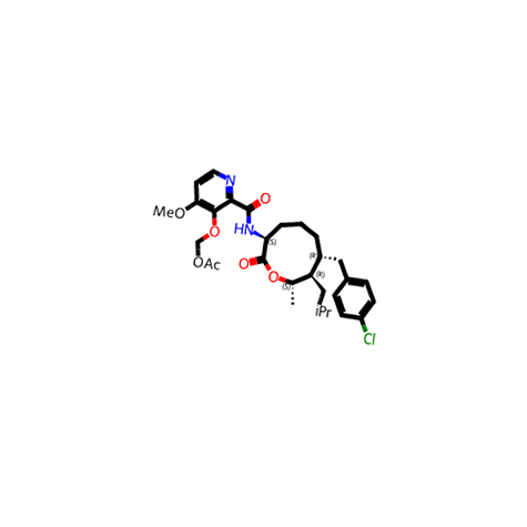 COc1ccnc(C(=O)N[C@H]2CCC[C@H](Cc3ccc(Cl)cc3)[C@@H](CC(C)C)[C@H](C)OC2=O)c1OCOC(C)=O